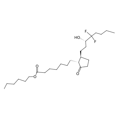 CCCCCCOC(=O)CCCCCC[C@H]1C(=O)CC[C@@H]1CC[C@H](O)C(F)(F)CCCC